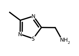 Cc1nsc(CN)n1